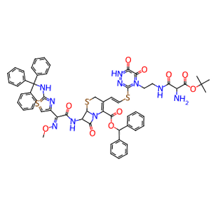 CON=C(C(=O)NC1C(=O)N2C(C(=O)OC(c3ccccc3)c3ccccc3)=C(C=CSc3n[nH]c(=O)c(=O)n3CCNC(=O)C(N)C(=O)OC(C)(C)C)CSC12)c1csc(NC(c2ccccc2)(c2ccccc2)c2ccccc2)n1